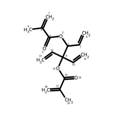 C=CC(OC(=O)C(=C)C)C(C=C)(C=C)OC(=O)C(=C)C